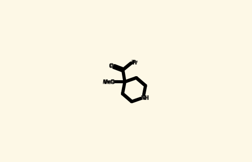 COC1(C(=O)C(C)C)CCNCC1